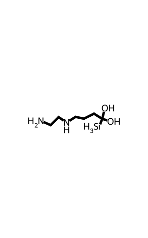 NCCNCCCC(O)(O)[SiH3]